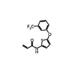 C=CC(=O)Nc1ccc(Oc2cccc(C(F)(F)F)c2)s1